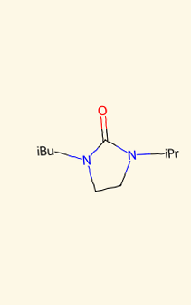 CCC(C)N1CCN(C(C)C)C1=O